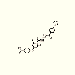 O=C(NCCNC(=O)c1c(F)cc(O[C@H]2CC[C@@H](C(=O)O)CC2)cc1F)c1ccc(N2CCCC2)cc1